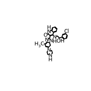 CC1=C2N=C(c3c(NCC(O)c4cccc(Cl)c4)c4ccccc4[nH]c3=O)N=C2CC(N2CCNCC2)=C1